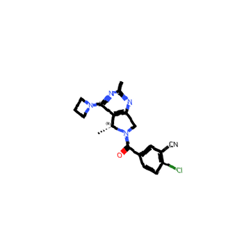 Cc1nc2c(c(N3CCC3)n1)[C@@H](C)N(C(=O)c1ccc(Cl)c(C#N)c1)C2